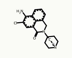 Nc1c(Cl)cc2c3c(cccc13)CN(C13CCN(CC1)CC3)C2=O